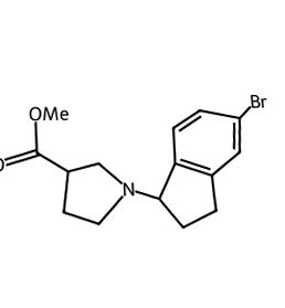 COC(=O)C1CCN(C2CCc3cc(Br)ccc32)C1